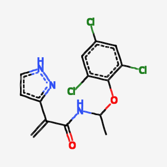 C=C(C(=O)NC(C)Oc1c(Cl)cc(Cl)cc1Cl)c1cc[nH]n1